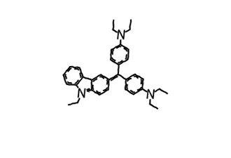 CCN(CC)c1ccc(C(c2ccc(N(CC)CC)cc2)=c2ccc3c(c2)-c2ccccc2[N+]=3CC)cc1